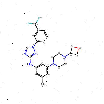 Cc1cc(Nc2ncn(-c3cccc(C(F)F)c3)n2)cc(N2CCN(C3COC3)CC2)c1